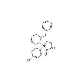 O=C1NCC[N+]1(c1ccc(Cl)cc1)C1C=CCCN1Cc1ccccc1